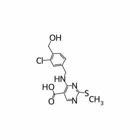 CSc1ncc(C(=O)O)c(NCc2ccc(CO)c(Cl)c2)n1